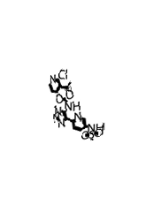 C[C@@H](OC(=O)Nc1c(-c2ccc(NS(C)(=O)=O)cn2)nnn1C)c1cccnc1Cl